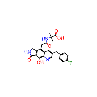 CC(C)(NC(=O)Cc1c2c(c(O)c3ncc(Cc4ccc(F)cc4)cc13)C(=O)NC2)C(=O)O